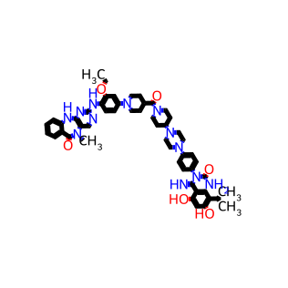 CCOc1cc(N2CCC(C(=O)N3CCC(N4CCN(c5ccc(N(C(=N)c6cc(C(C)C)c(O)cc6O)C(N)=O)cc5)CC4)CC3)CC2)ccc1Nc1ncc2c(n1)Nc1ccccc1C(=O)N2C